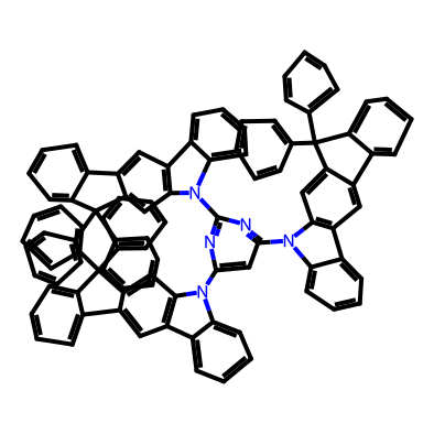 c1ccc(C2(c3ccccc3)c3ccccc3-c3cc4c5ccccc5n(-c5cc(-n6c7ccccc7c7cc8c(cc76)C(c6ccccc6)(c6ccccc6)c6ccccc6-8)nc(-n6c7ccccc7c7cc8c(cc76)C(c6ccccc6)(c6ccccc6)c6ccccc6-8)n5)c4cc32)cc1